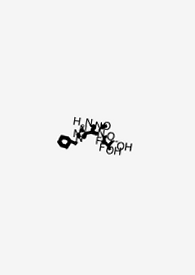 Nc1nc(=O)n([C@@H]2O[C@H](CO)C(O)C2(F)F)cc1-c1cn(Cc2ccccc2)nn1